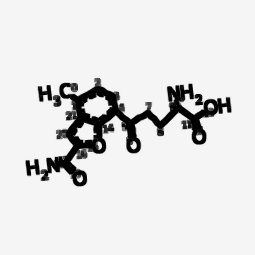 Cc1ccc(C(=O)CC[C@H](N)C(=O)O)c2oc(C(N)=O)cc12